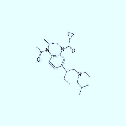 CCC(CN(CC)CC(C)C)c1ccc2c(c1)N(C(=O)C1CC1)C[C@H](C)N2C(C)=O